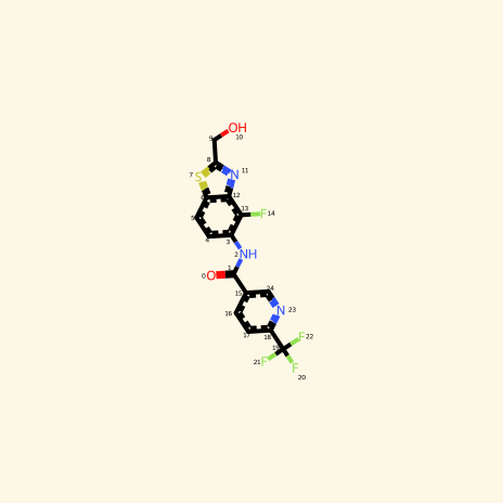 O=C(Nc1ccc2sc(CO)nc2c1F)c1ccc(C(F)(F)F)nc1